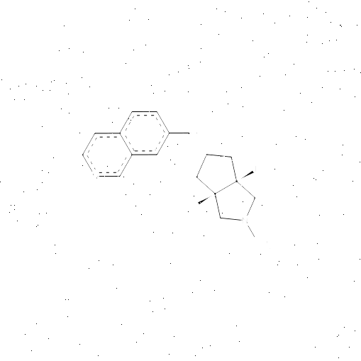 O=C(O)N1C[C@H]2C[C@@H](Oc3ccc4ccncc4c3)C[C@H]2C1